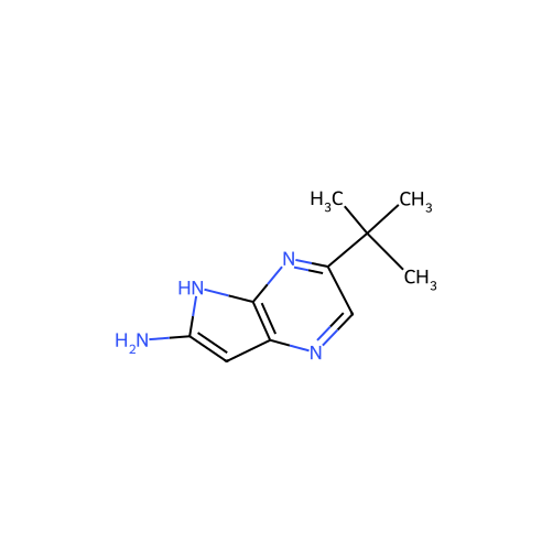 CC(C)(C)c1cnc2cc(N)[nH]c2n1